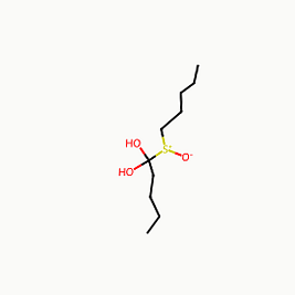 CCCCC[S+]([O-])C(O)(O)CCCC